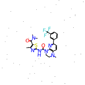 Cc1nc(NC(=O)N2CCN(C)c3ccc(-c4cccc(C(F)(F)F)c4)nc32)sc1C(=O)N(C)C